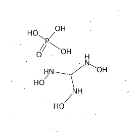 O=P(O)(O)O.ONC(NO)NO